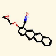 [O-][N+]#Cc1c(OCC2CO2)ccc2cc3cc4ccccc4cc3cc12